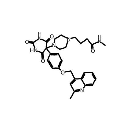 CNC(=O)CCCN1CCN(C2(c3ccc(OCc4cc(C)nc5ccccc45)cc3)C(=O)NC(=O)NC2=O)CC1